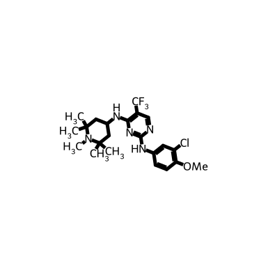 COc1ccc(Nc2ncc(C(F)(F)F)c(NC3CC(C)(C)N(C)C(C)(C)C3)n2)cc1Cl